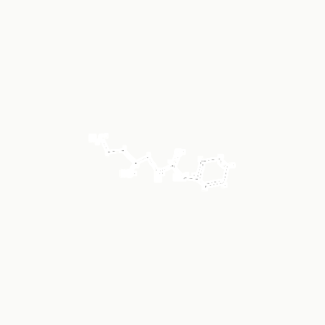 CCCC(O)CNC(=O)Nc1cc[c]cc1